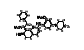 CN/C(=C1\C(=N)CCc2cnc(Nc3ccc(N4CCN(C)CC4)cc3OC)nc21)[C@@H](C)c1ccccc1